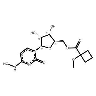 COC1(C(=O)OC[C@H]2O[C@@H](n3ccc(NO)nc3=O)[C@H](O)[C@@H]2O)CCC1